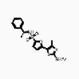 CC(=O)Nc1nc(C)c(-c2ccc(S(=O)(=O)N[C@@H](C)c3ccccc3)o2)s1